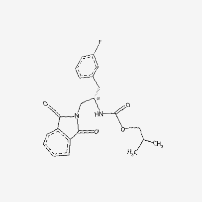 CC(C)COC(=O)N[C@@H](Cc1cccc(F)c1)CN1C(=O)c2ccccc2C1=O